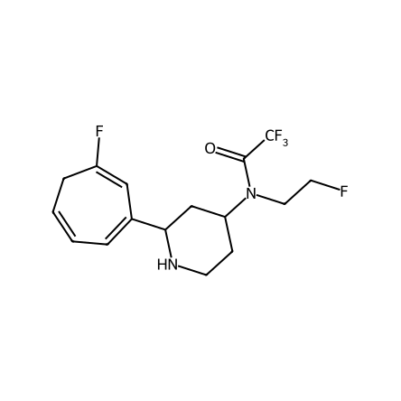 O=C(N(CCF)C1CCNC(C2=CC=CCC(F)=C2)C1)C(F)(F)F